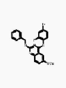 COc1ccc2nc(OCc3ccccc3)nc(Oc3ccc(Br)cc3F)c2c1